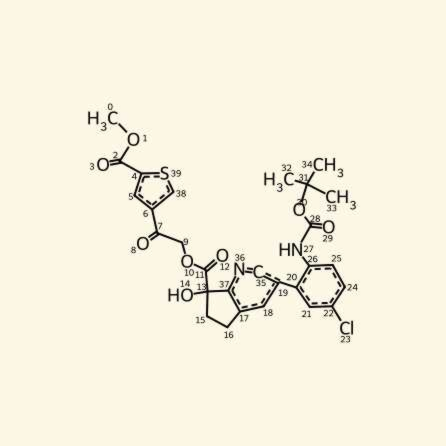 COC(=O)c1cc(C(=O)COC(=O)C2(O)CCc3cc(-c4cc(Cl)ccc4NC(=O)OC(C)(C)C)cnc32)cs1